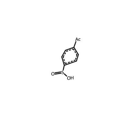 CC(=O)c1ccc(S(=O)O)cc1